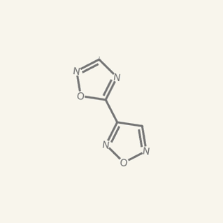 [c]1noc(-c2cnon2)n1